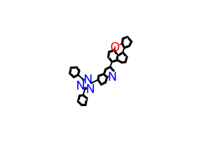 c1ccc(-c2nc(-c3ccccc3)nc(-c3ccc4ncc(-c5ccc6c7c(cccc57)-c5ccccc5O6)cc4c3)n2)cc1